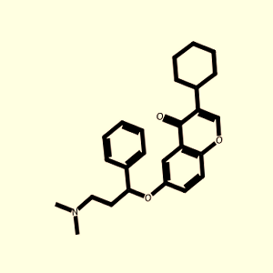 CN(C)CCC(Oc1ccc2occ(C3CCCCC3)c(=O)c2c1)c1ccccc1